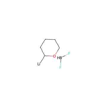 FBF.[Li][CH]1CCCCO1